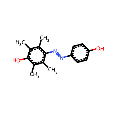 Cc1c(C)c(N=Nc2ccc(O)cc2)c(C)c(C)c1O